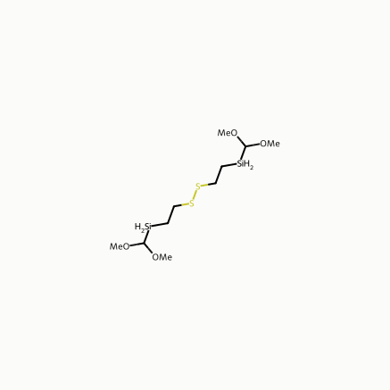 COC(OC)[SiH2]CCSSCC[SiH2]C(OC)OC